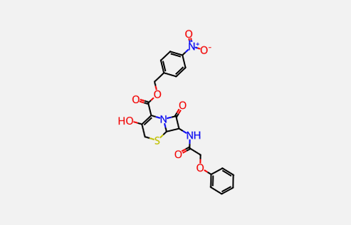 O=C(COc1ccccc1)NC1C(=O)N2C(C(=O)OCc3ccc([N+](=O)[O-])cc3)=C(O)CSC12